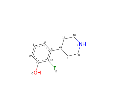 Oc1cccc(C2CCNCC2)c1F